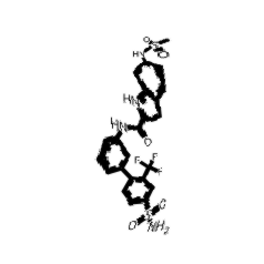 CS(=O)(=O)Nc1ccc2cc(C(=O)Nc3cccc(-c4ccc(S(N)(=O)=O)cc4C(F)(F)F)c3)[nH]c2c1